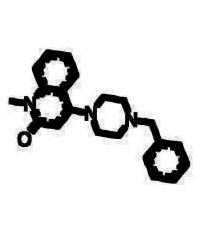 Cn1c(=O)cc(N2CCN(Cc3ccccc3)CC2)c2ccccc21